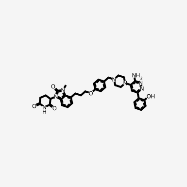 Cn1c(=O)n(C2CCC(=O)NC2=O)c2cccc(CCCOc3ccc(CN4CCN(c5cc(-c6ccccc6O)nnc5N)CC4)cc3)c21